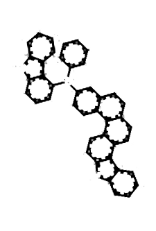 c1ccc(N(c2ccc3c(ccc4ccc5c(ccc6sc7ccccc7c65)c43)c2)c2cccc3sc4ccccc4c23)cc1